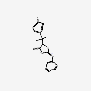 CC(C)(c1ccc(F)cc1)C1S/C(=N/c2ccccn2)NC1=O